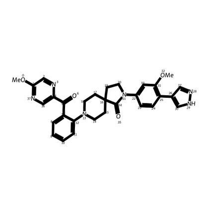 COc1cnc(C(=O)c2ccccc2N2CCC3(CC2)CCN(c2ccc(-c4cn[nH]c4)c(OC)c2)C3=O)cn1